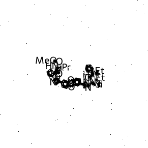 CCN(CC)[C@@H](C(=O)N1C[Si](C)(C)C[C@H]1c1ncc(-c2ccc3c(c2)Oc2ccc(-c4cnc([C@@H]5CCCN5C(=O)[C@@H](NC(=O)OC)C(C)C)[nH]4)cc2O3)[nH]1)c1ccccc1